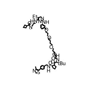 CCc1cnc(Nc2cccc(OCCCOCCCCOCCCOCC(=O)NC(C(=O)C3CCC[C@H]3C(=O)NCc3ccc(-c4scnc4C)cc3)C(C)(C)C)c2)nc1NCCCN(C)C(=O)C1CCC1